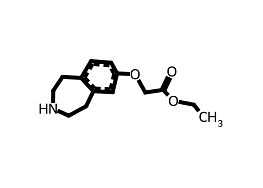 CCOC(=O)COc1ccc2c(c1)CCNCC2